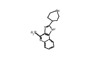 Nc1nc2ccccc2c2[nH]c(C3CCNCC3)nc12